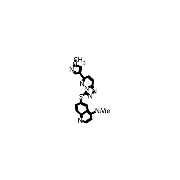 CNc1ccnc2ccc(Sc3nnc4ccc(-c5cnn(C)c5)nn34)cc12